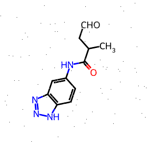 CC(CC=O)C(=O)Nc1ccc2[nH]nnc2c1